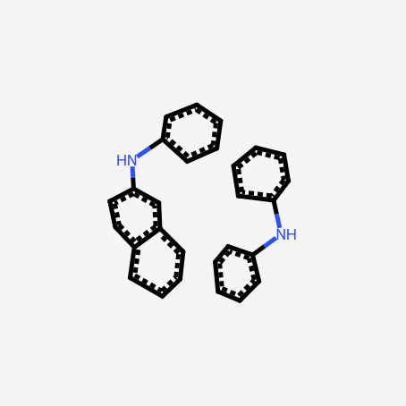 c1ccc(Nc2ccc3ccccc3c2)cc1.c1ccc(Nc2ccccc2)cc1